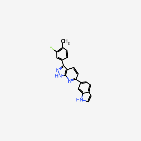 Cc1ccc(-c2n[nH]c3nc(-c4ccc5cc[nH]c5c4)ccc23)cc1F